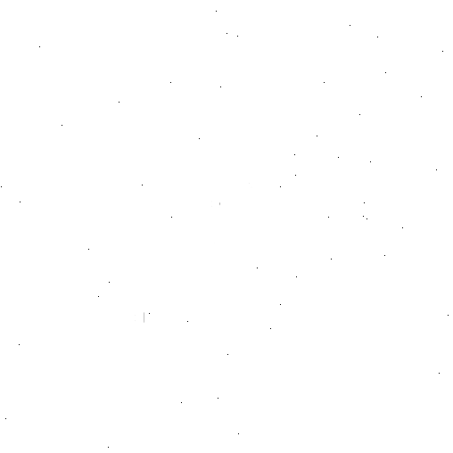 Cc1cc(Cl)ccc1C=C1CCCCC1=O